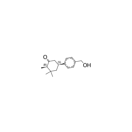 C[C@H]1C(=O)C[C@@H](c2ccc(CO)cc2)CC1(C)C